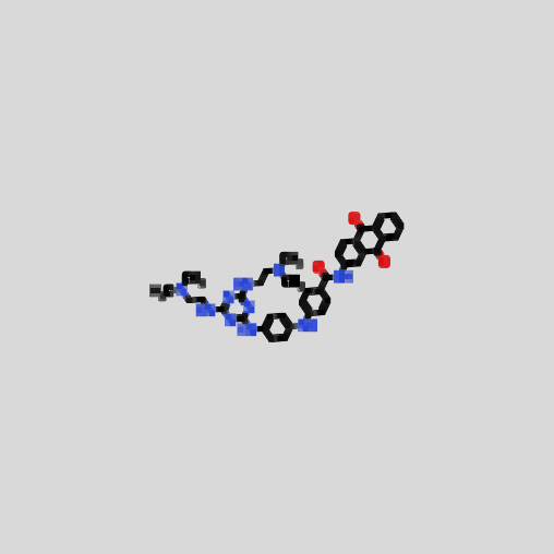 CN(C)CCNc1nc(NCCN(C)C)nc(Nc2ccc(Nc3ccc(C(=O)Nc4ccc5c(c4)C(=O)c4ccccc4C5=O)cc3)cc2)n1